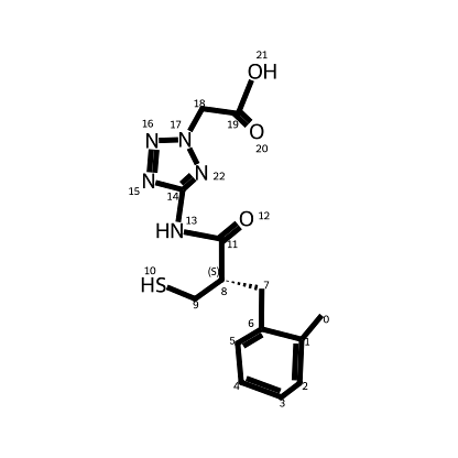 Cc1ccccc1C[C@H](CS)C(=O)Nc1nnn(CC(=O)O)n1